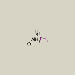 B.P.[AlH3].[Cu]